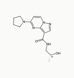 C[C@@H](O)CNC(=O)c1cnn2ccc(N3CCCC3)nc12